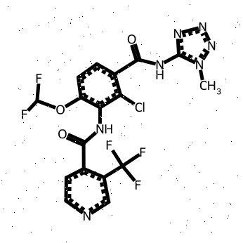 Cn1nnnc1NC(=O)c1ccc(OC(F)F)c(NC(=O)c2ccncc2C(F)(F)F)c1Cl